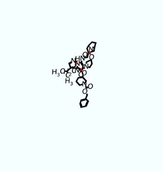 C=C(F)C(=O)N1CCC(OC(=O)N2C3CCC2CC(CNc2cc(O[C@@H]4CCCN(C(=O)OCc5ccccc5)C4)nc4c(C(C)C)cnn24)C3)C1